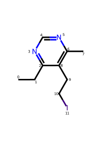 CCc1ncnc(C)c1CCI